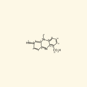 Cn1c2cc(=N)ccc-2nc2c(C(=O)O)cccc21